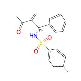 C=C(C(C)=O)[C@@H](NS(=O)(=O)c1ccc(C)cc1)c1ccccc1